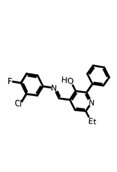 CCc1cc(C=Nc2ccc(F)c(Cl)c2)c(O)c(-c2ccccc2)n1